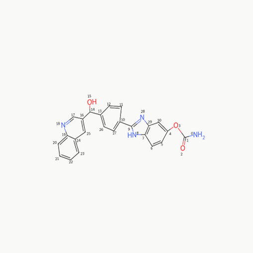 NC(=O)Oc1ccc2[nH]c(-c3ccc(C(O)c4cnc5ccccc5c4)cc3)nc2c1